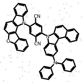 N#Cc1cc(-n2c3ccccc3c3ccc4oc5ccccc5c4c32)c(C#N)cc1-n1c2ccc(N(c3ccccc3)c3ccccc3)cc2c2c3ccccc3ccc21